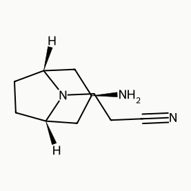 N#CCCN1[C@@H]2CC[C@H]1C[C@H](N)C2